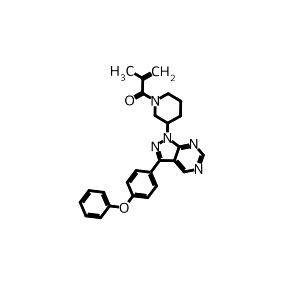 C=C(C)C(=O)N1CCCC(n2nc(-c3ccc(Oc4ccccc4)cc3)c3cncnc32)C1